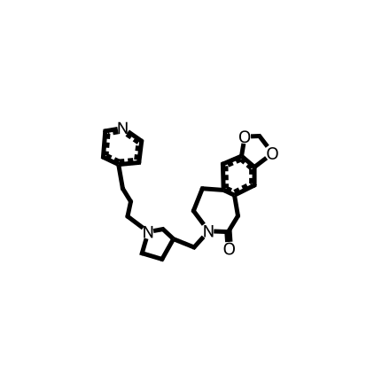 O=C1Cc2cc3c(cc2CCN1CC1CCN(CCCc2ccncc2)C1)OCO3